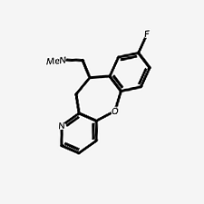 CNCC1Cc2ncccc2Oc2ccc(F)cc21